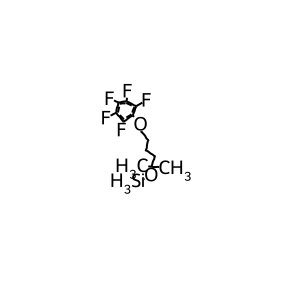 CC(C)(CCCCOc1c(F)c(F)c(F)c(F)c1F)O[SiH3]